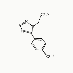 O=C(O)Cn1nnnc1-c1ccc(C(=O)O)cc1